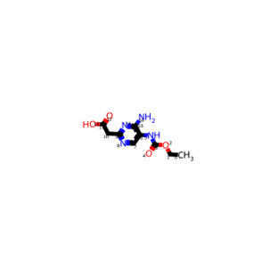 CCOC(=O)Nc1cnc(CC(=O)O)nc1N